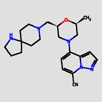 C[C@@H]1CN(c2ccc(C#N)n3nccc23)C[C@H](CN2CCC3(CCCN3)CC2)O1